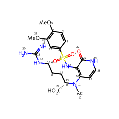 COc1ccc(S(=O)(=O)Nc2c(N(C(C)=O)[C@@H](CCCNC(=N)N)C(=O)O)cc[nH]c2=O)cc1OC